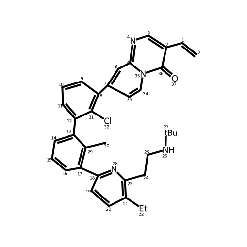 C=Cc1cnc2cc(-c3cccc(-c4cccc(-c5ccc(CC)c(CCNC(C)(C)C)n5)c4C)c3Cl)ccn2c1=O